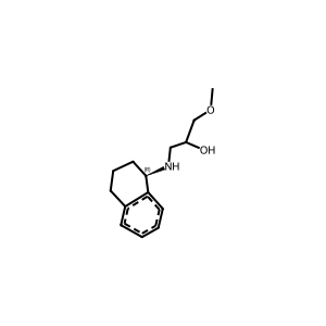 COCC(O)CN[C@@H]1CCCc2ccccc21